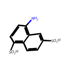 Nc1ccc(S(=O)(=O)O)c2ccc(S(=O)(=O)O)cc12